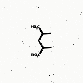 CCOC(=O)C(C)SC(C)C(=O)O